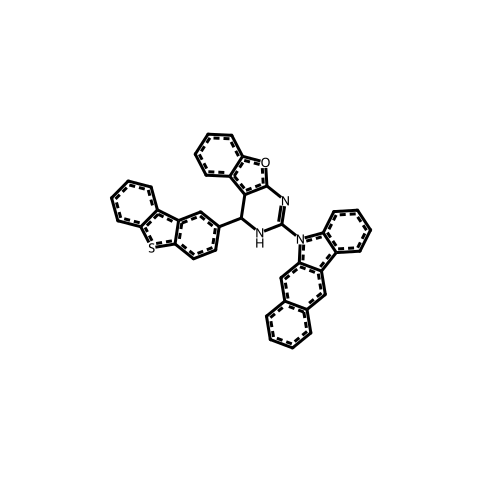 c1ccc2cc3c(cc2c1)c1ccccc1n3C1=Nc2oc3ccccc3c2C(c2ccc3sc4ccccc4c3c2)N1